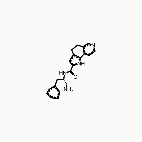 NC[C@H](Cc1ccccc1)NC(=O)c1cc2c([nH]1)-c1ccncc1CC2